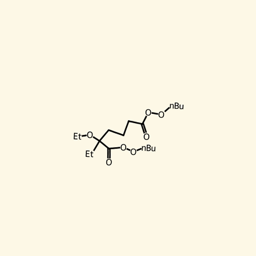 CCCCOOC(=O)CCCC(CC)(OCC)C(=O)OOCCCC